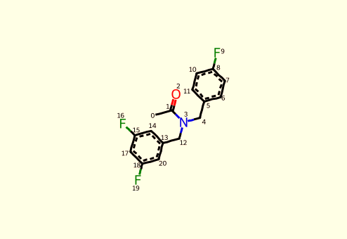 CC(=O)N(Cc1ccc(F)cc1)Cc1cc(F)cc(F)c1